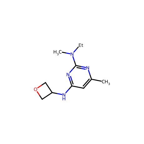 CCN(C)c1nc(C)cc(NC2COC2)n1